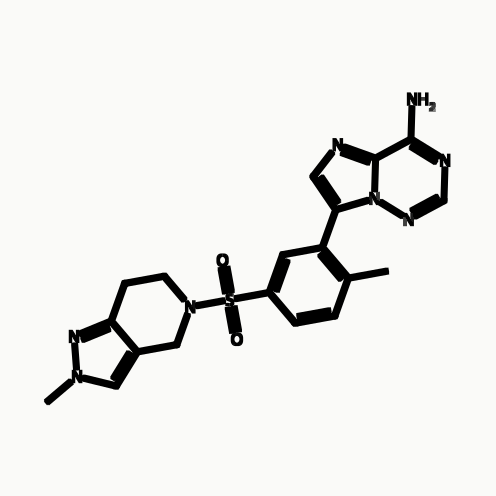 Cc1ccc(S(=O)(=O)N2CCc3nn(C)cc3C2)cc1-c1cnc2c(N)ncnn12